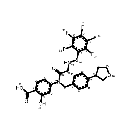 O=C(O)c1ccc(N(Cc2ccc(C3CCOC3)cc2)C(=O)CNSc2c(F)c(F)c(F)c(F)c2F)cc1O